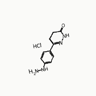 Cl.NNc1ccc(C2=NNC(=O)CC2)cc1